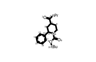 CCCC(=O)C1CCN(C(=O)OC(C)(C)C)C(c2ccccc2)C1